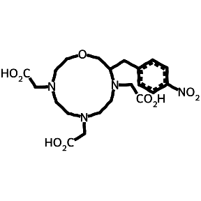 O=C(O)CN1CCOCC(Cc2ccc([N+](=O)[O-])cc2)N(CC(=O)O)CCN(CC(=O)O)CC1